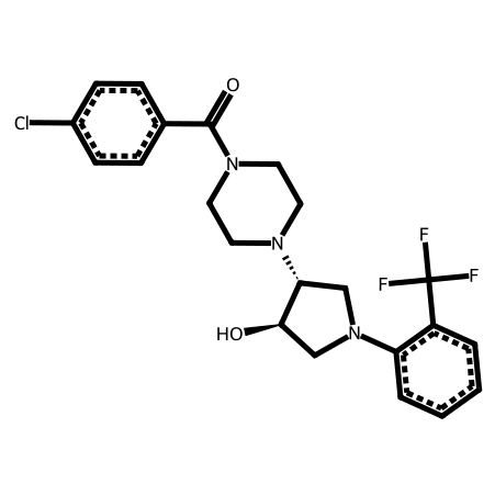 O=C(c1ccc(Cl)cc1)N1CCN([C@@H]2CN(c3ccccc3C(F)(F)F)C[C@H]2O)CC1